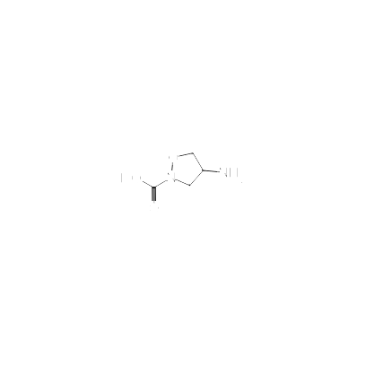 NC1CON(C(=O)O)C1